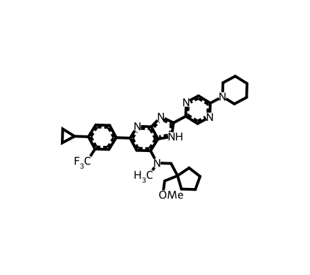 COCC1(CN(C)c2cc(-c3ccc(C4CC4)c(C(F)(F)F)c3)nc3nc(-c4cnc(N5CCCCC5)cn4)[nH]c23)CCCC1